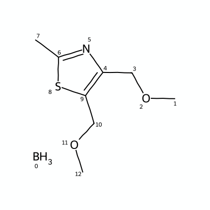 B.COCc1nc(C)sc1COC